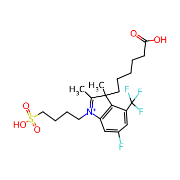 CC1=[N+](CCCCS(=O)(=O)O)c2cc(F)cc(C(F)(F)F)c2C1(C)CCCCCC(=O)O